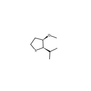 CO[C@@H]1CCS[C@@H]1C(C)C